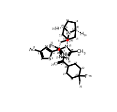 CC(=O)c1csc([C@H](CCN2[C@@H]3CC[C@H]2C[C@H](n2c(C)nnc2C(C)C)C3)NC(=O)C2CCC(F)(F)CC2)c1